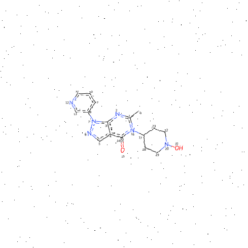 Cc1nc2c(cnn2-c2cccnc2)c(=O)n1C1CCN(O)CC1